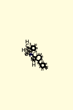 C[C@H](NS(=O)(=O)/C=C/c1n[nH]c2c1CCCCC2Cc1ccc(F)cc1)c1ccccc1